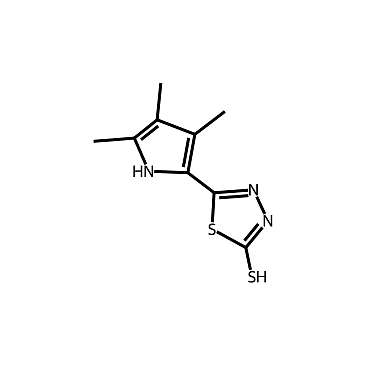 Cc1[nH]c(-c2nnc(S)s2)c(C)c1C